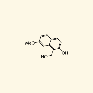 COc1ccc2ccc(O)c(CC#N)c2c1